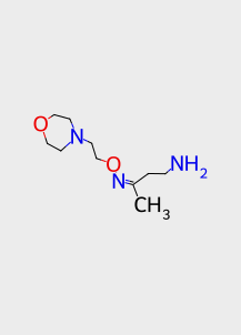 C/C(CCN)=N/OCCN1CCOCC1